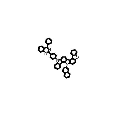 c1ccc(-c2nc(-c3ccc(-n4c5ccccc5c5c4ccc4c6c7c(ccc6n(-c6ccc8ccccc8c6)c45)oc4ccccc47)cc3)nc3ccccc23)cc1